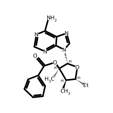 CC[C@H]1O[C@@H](n2cnc3c(N)ncnc32)[C@](C)(OC(=O)c2ccccc2)[C@@H]1C